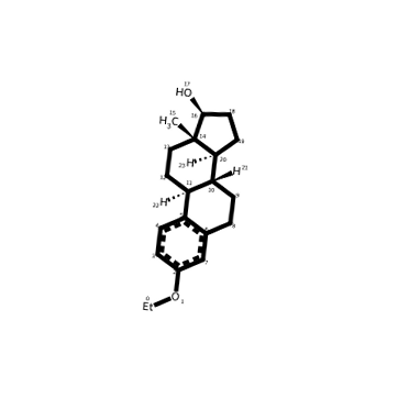 CCOc1ccc2c(c1)CC[C@@H]1[C@@H]2CC[C@]2(C)[C@@H](O)CC[C@@H]12